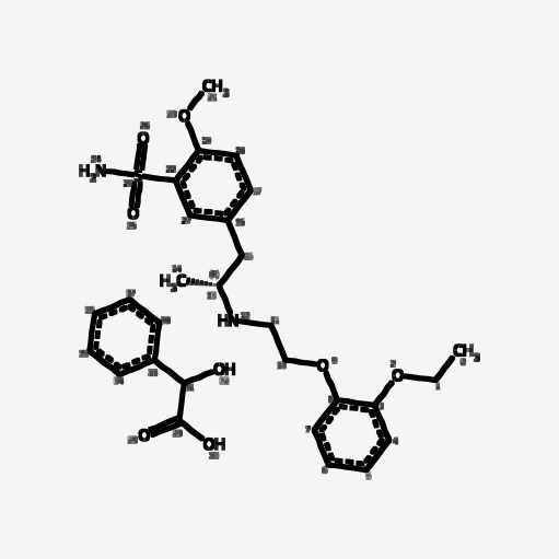 CCOc1ccccc1OCCN[C@H](C)Cc1ccc(OC)c(S(N)(=O)=O)c1.O=C(O)C(O)c1ccccc1